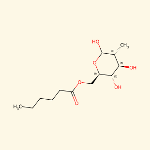 CCCCCC(=O)OC[C@H]1OC(O)[C@H](C)[C@@H](O)[C@@H]1O